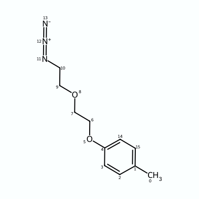 Cc1ccc(OCCOCCN=[N+]=[N-])cc1